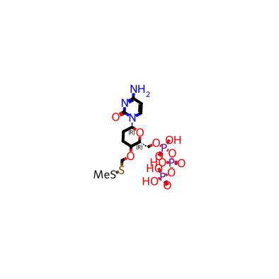 CSSCOC1CC[C@H](n2ccc(N)nc2=O)O[C@@H]1COP(=O)(O)OP(=O)(O)OP(=O)(O)O